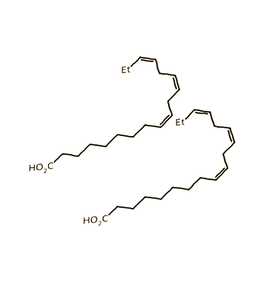 CC/C=C\C/C=C\C/C=C\CCCCCCCC(=O)O.CC/C=C\C/C=C\C/C=C\CCCCCCCC(=O)O